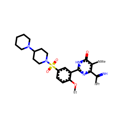 CCCC(=N)c1nc(-c2cc(S(=O)(=O)N3CCC(N4CCCCC4)CC3)ccc2OCC)[nH]c(=O)c1NC